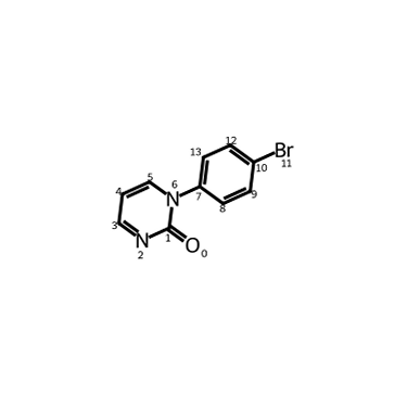 O=c1ncccn1-c1ccc(Br)cc1